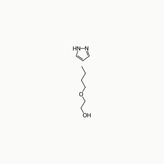 CCCCOCCO.c1cn[nH]c1